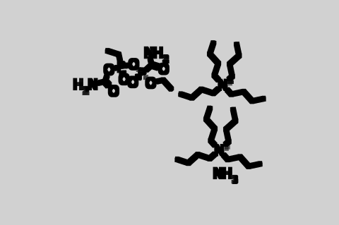 CCCC[N+](CCCC)(CCCC)CCCC.CCCC[N+](CCCC)(CCCC)CCCC.CCOP(=O)(OP(=O)(CC)OC(N)=O)C(N)=O.N